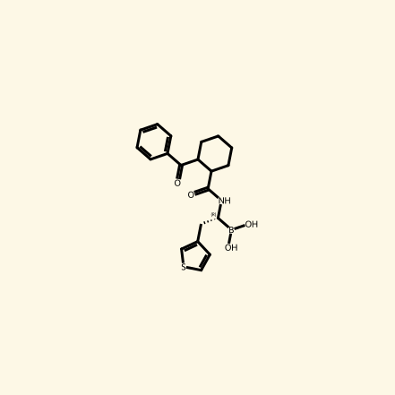 O=C(N[C@@H](Cc1ccsc1)B(O)O)C1CCCCC1C(=O)c1ccccc1